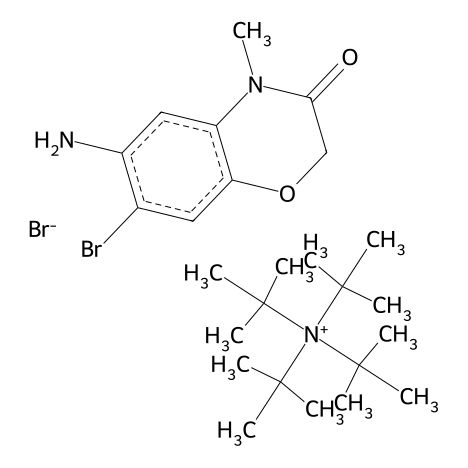 CC(C)(C)[N+](C(C)(C)C)(C(C)(C)C)C(C)(C)C.CN1C(=O)COc2cc(Br)c(N)cc21.[Br-]